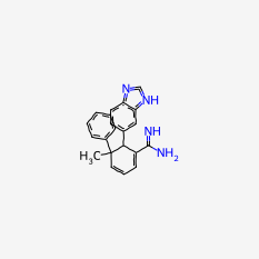 CC1(c2ccccc2)C=CC=C(C(=N)N)C1c1ccc2nc[nH]c2c1